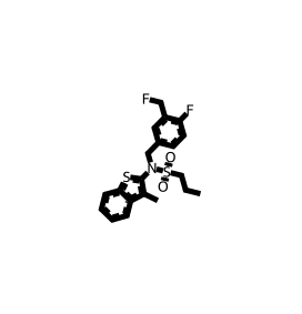 CCCS(=O)(=O)N(Cc1ccc(F)c(CF)c1)c1sc2ccccc2c1C